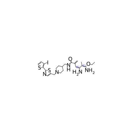 C=C(/C=C(N)\C(C)=C(/N)OCC)C(=O)NCC1CCN(Cc2cnc(-c3sccc3I)s2)CC1